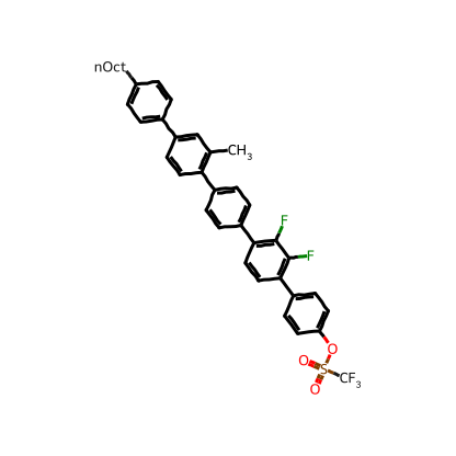 CCCCCCCCc1ccc(-c2ccc(-c3ccc(-c4ccc(-c5ccc(OS(=O)(=O)C(F)(F)F)cc5)c(F)c4F)cc3)c(C)c2)cc1